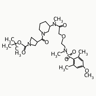 COc1cc(C)c(S(=O)(=O)N(C)CCOCC(=O)N(C)C2CCCN(C(=O)C3CN(C(=O)OC(C)(C)C)C3)C2)c(C)c1